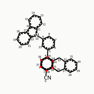 N#Cc1ccc(-c2cccc(-n3c4ccccc4c4ccccc43)c2)c2c1C1c3ccccc3C2c2ccccc21